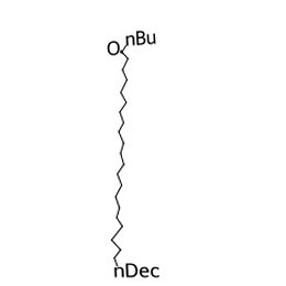 CCCCCCCCCCCCCCCCCCCCCCCCCCCCCCC(=O)CCCC